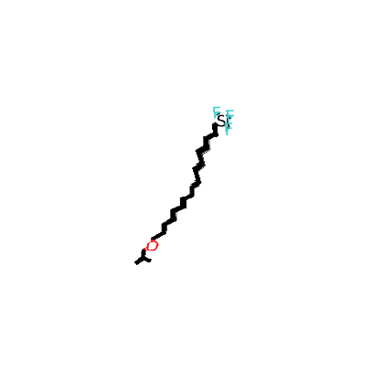 C=C(C)COCCCCCCCCCCCCCCCCC[Si](F)(F)F